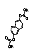 O=S(O)Oc1ccc2cc(OS(=O)O)ccc2c1